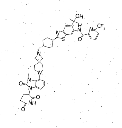 Cn1c(=O)n(C2CCC(=O)NC2=O)c2cccc(N3CCC4(CC3)CN(C[C@H]3CC[C@H](c5nc6cc(C(C)(C)O)c(NC(=O)c7cccc(C(F)(F)F)n7)cc6s5)CC3)C4)c21